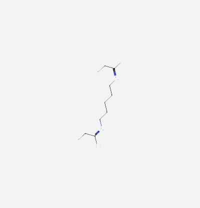 CCC(CCl)=NCCCCCN=C(CC)CCl